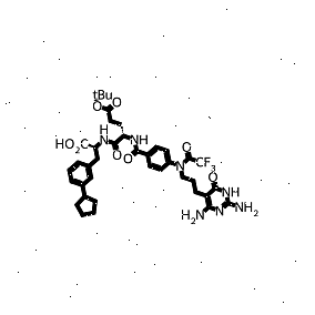 CC(C)(C)OC(=O)CC[C@H](NC(=O)c1ccc(N(CCCc2c(N)nc(N)[nH]c2=O)C(=O)C(F)(F)F)cc1)C(=O)N[C@@H](Cc1cccc(C2CCCC2)c1)C(=O)O